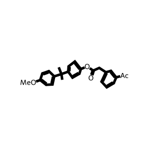 COc1ccc(C(C)(C)c2ccc(OC(=O)Cc3cccc(C(C)=O)c3)cc2)cc1